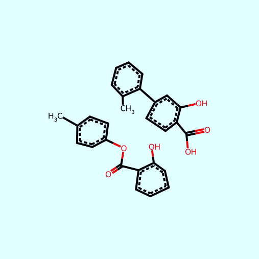 Cc1ccc(OC(=O)c2ccccc2O)cc1.Cc1ccccc1-c1ccc(C(=O)O)c(O)c1